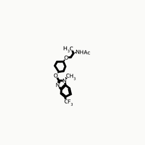 CC(=O)N[C@@H](C)CO[C@H]1CC[C@H](Oc2nc3cc(C(F)(F)F)ccc3n2C)CC1